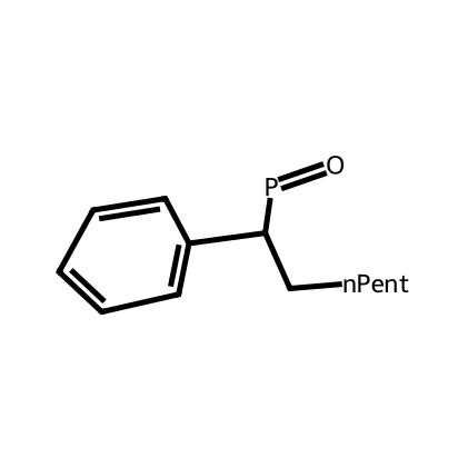 CCCCCCC(P=O)c1ccccc1